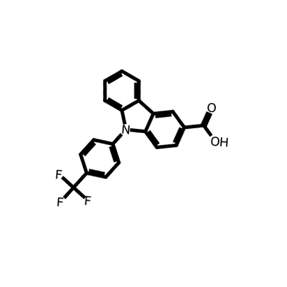 O=C(O)c1ccc2c(c1)c1ccccc1n2-c1ccc(C(F)(F)F)cc1